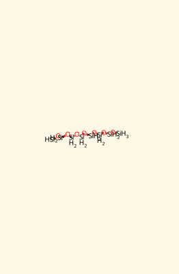 [SiH]O[SiH2]O[SiH2]O[SiH2]O[SiH2]O[SiH2]O[SiH2]O[SiH3]